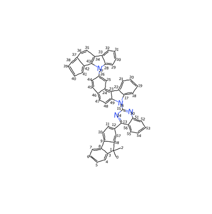 CC1(C)c2ccccc2-c2ccc(-c3nc(-n4c5ccccc5c5c6cc(-n7c8ccccc8c8ccc9ccccc9c87)ccc6ccc54)nc4ccccc34)cc21